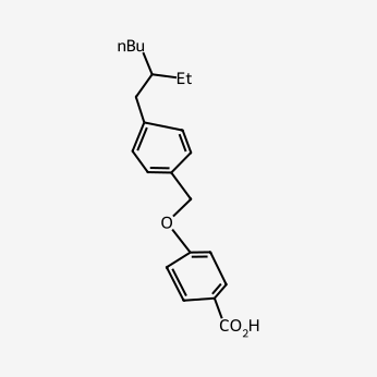 CCCCC(CC)Cc1ccc(COc2ccc(C(=O)O)cc2)cc1